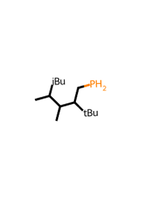 CCC(C)C(C)C(C)C(CP)C(C)(C)C